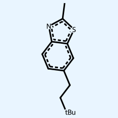 Cc1nc2ccc(CCC(C)(C)C)cc2s1